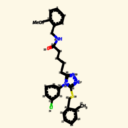 COc1ccccc1CNC(=O)CCCCc1nnc(SCc2ccccc2C)n1-c1cccc(Cl)c1